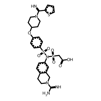 N=C(N)N1CCc2ccc(N(S(=O)(=O)CC(=O)O)S(=O)(=O)c3ccc(OC4CCN(C(=N)c5cccs5)CC4)cc3)cc2C1